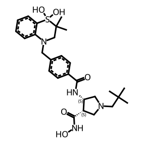 CC(C)(C)CN1C[C@H](C(=O)NO)[C@H](NC(=O)c2ccc(CN3CC(C)(C)S(O)(O)c4ccccc43)cc2)C1